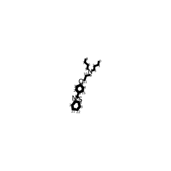 CCCCN(CCCC)CCCOc1ccc(-c2nc3ccccc3s2)cc1